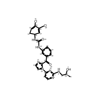 C[C@H](O)CNc1nccc(-n2ccnc2C(=O)c2cccc(NC(=O)NC3C=C(Cl)C(Cl)=CC3)c2)n1